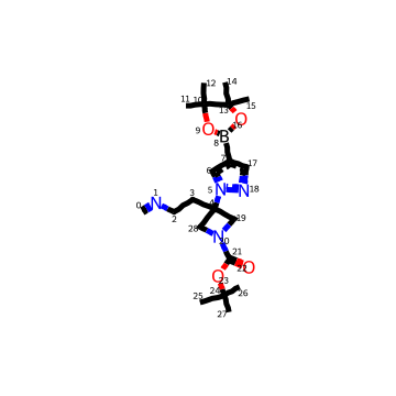 C=NCCC1(n2cc(B3OC(C)(C)C(C)(C)O3)cn2)CN(C(=O)OC(C)(C)C)C1